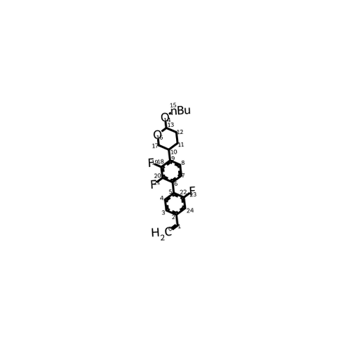 C=Cc1ccc(-c2ccc(C3CCC(OCCCC)OC3)c(F)c2F)c(F)c1